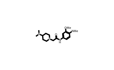 CNc1ccc(NC(=O)CN2CCC(N(C)C)CC2)cc1OC